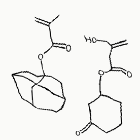 C=C(C)C(=O)OC12CC3CC(CC(C3)C1)C2.C=C(O)C(=O)OC1CCCC(=O)C1